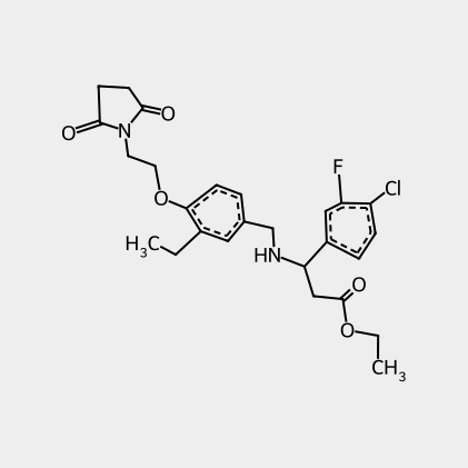 CCOC(=O)CC(NCc1ccc(OCCN2C(=O)CCC2=O)c(CC)c1)c1ccc(Cl)c(F)c1